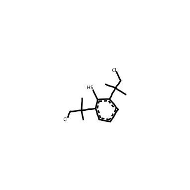 CC(C)(CCl)c1cccc(C(C)(C)CCl)c1S